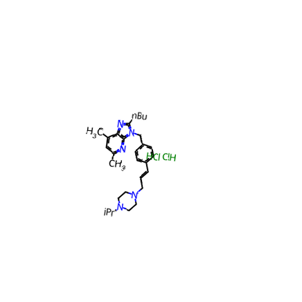 CCCCc1nc2c(C)cc(C)nc2n1Cc1ccc(C=CCN2CCN(C(C)C)CC2)cc1.Cl.Cl